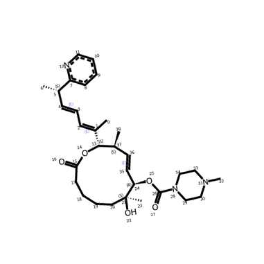 C/C(=C\C=C\[C@H](C)c1ccccn1)[C@H]1OC(=O)CCCC[C@](C)(O)[C@H](OC(=O)N2CCN(C)CC2)/C=C/[C@@H]1C